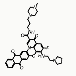 CN1CCN(CCCNC(=O)c2cn3c4cc5c(=O)c6ccccc6c(=O)c5cc4oc4c(NCCN5CCCC5)c(F)cc(c2=O)c43)CC1